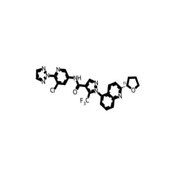 O=C(Nc1cnc(-n2nccn2)c(Cl)c1)c1cnn(-c2cccc3nc([C@@H]4CCCO4)ccc23)c1C(F)(F)F